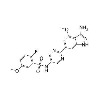 COc1ccc(F)c(S(=O)(=O)Nc2cnc(-c3cc(OC)c4c(N)n[nH]c4c3)nc2)c1